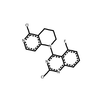 Fc1cccc2nc(Cl)nc(N3CCCc4c3ccnc4Cl)c12